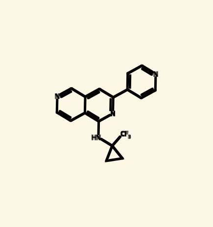 FC(F)(F)C1(Nc2nc(-c3ccncc3)cc3cnccc23)CC1